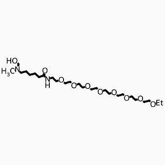 CCOCCOCCOCCOCCOCCOCCOCCOCCNC(=O)CCCCCN(C)CO